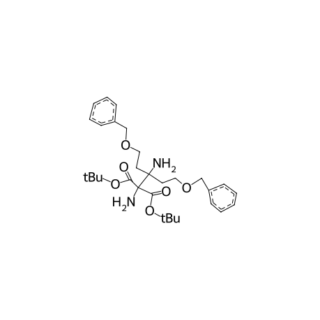 CC(C)(C)OC(=O)C(N)(C(=O)OC(C)(C)C)C(N)(CCOCc1ccccc1)CCOCc1ccccc1